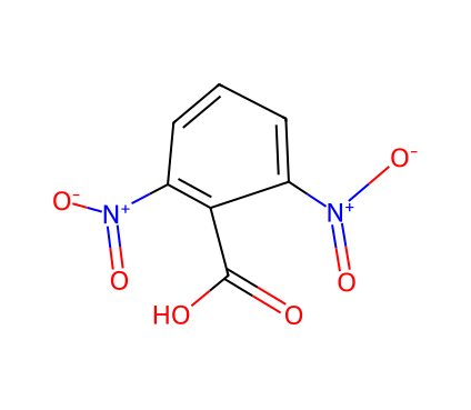 O=C(O)c1c([N+](=O)[O-])cccc1[N+](=O)[O-]